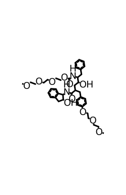 COCCOCCOCCOC(=O)NC(Cc1ccccc1)C(O)CC(Cc1ccc(OCCOCCOC)cc1)C(=O)NC1c2ccccc2CC1O